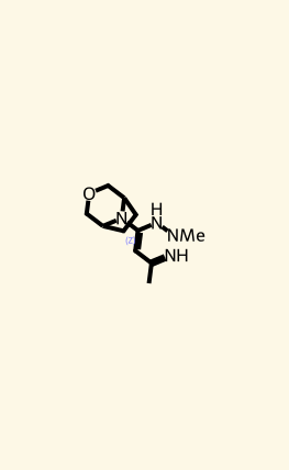 CNN/C(=C\C(C)=N)N1C2CCC1COC2